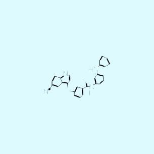 N#Cc1ccc2nccc(Oc3cccc(C(=O)Nc4cccc(Nc5ccccc5)c4)c3)c2c1